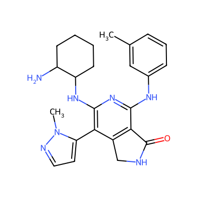 Cc1cccc(Nc2nc(NC3CCCCC3N)c(-c3ccnn3C)c3c2C(=O)NC3)c1